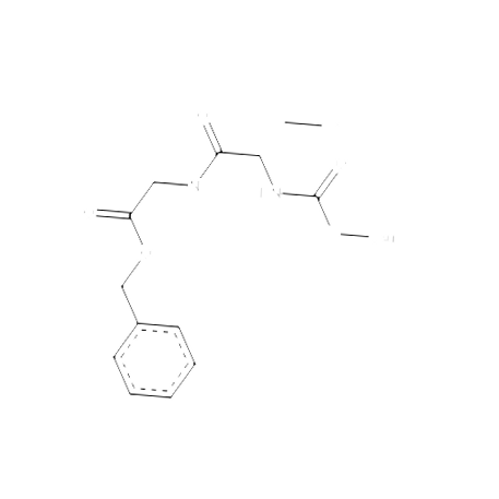 CC(C)C[C@H](NC(=O)OC(C)(C)C)C(=O)N[C@@H](C)C(=O)OCc1ccccc1